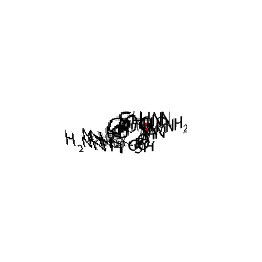 C[C@H]1[C@H]2O[P@@](=O)(S)OCC34C[C@@H]3[C@@H](n3cnc5c(N)ncnc53)[C@H](C)[C@@H]4O[P@](=O)(S)OC[C@H]1O[C@H]2n1cnc2c(N)ncnc21